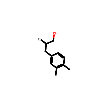 CCC(CO)Cc1ccc(C)c(C)c1